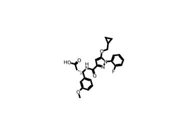 COc1cccc([C@H](CC(=O)O)NC(=O)c2cc(OCC3CC3)n(-c3ccccc3F)n2)c1